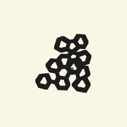 c1ccc(-c2ccccc2-c2c(-c3ccccc3)cccc2N(c2cccc3c2-c2ccccc2C32c3ccccc3-c3ccccc32)c2cccc3ccccc23)cc1